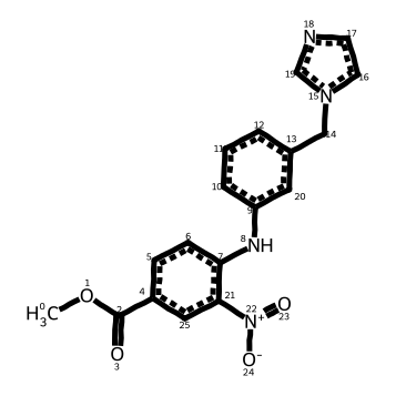 COC(=O)c1ccc(Nc2cccc(Cn3ccnc3)c2)c([N+](=O)[O-])c1